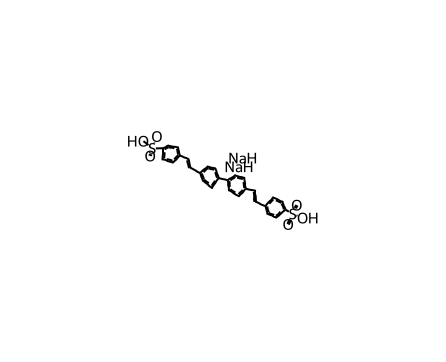 O=S(=O)(O)c1ccc(C=Cc2ccc(-c3ccc(C=Cc4ccc(S(=O)(=O)O)cc4)cc3)cc2)cc1.[NaH].[NaH]